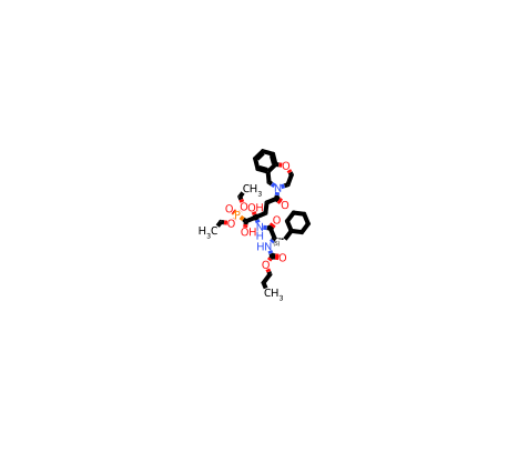 CCCOC(=O)N[C@@H](CC1CCCCC1)C(=O)NC(O)(CCC(=O)N1CCOc2ccccc2C1)C(O)P(=O)(OCC)OCC